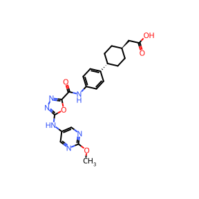 COc1ncc(Nc2nnc(C(=O)Nc3ccc([C@H]4CC[C@H](CC(=O)O)CC4)cc3)o2)cn1